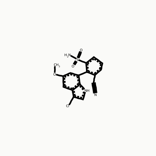 COc1cc(-c2c(C#N)cccc2S(N)(=O)=O)c2[nH]cc(Cl)c2c1